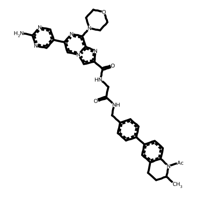 CC(=O)N1c2ccc(-c3ccc(CNC(=O)CNC(=O)c4cn5cc(-c6cnc(N)nc6)nc(N6CCOCC6)c5n4)cc3)cc2CCC1C